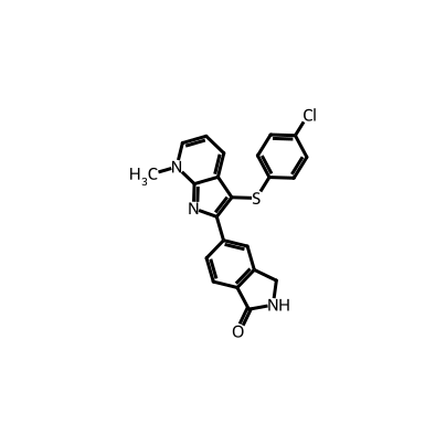 Cn1cccc2c(Sc3ccc(Cl)cc3)c(-c3ccc4c(c3)CNC4=O)nc1-2